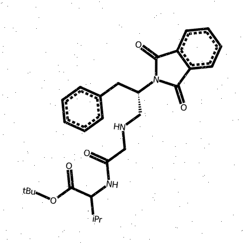 CC(C)C(NC(=O)CNC[C@H](Cc1ccccc1)N1C(=O)c2ccccc2C1=O)C(=O)OC(C)(C)C